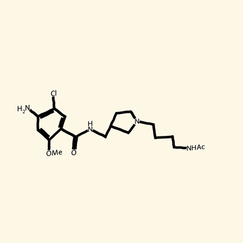 COc1cc(N)c(Cl)cc1C(=O)NCC1CCN(CCCCNC(C)=O)C1